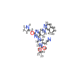 CN1CCC[C@H]1COc1nc2c(c(N3CCN(C(=O)OC(C)(C)C)C(CC#N)C3)n1)CCN(c1nccc3ccccc13)C2